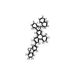 c1ccc2c(-n3c4ccccc4c4cc5c6ccc(-c7ccc8c(c7)oc7ccccc78)cc6c6ccccc6c5cc43)cccc2c1